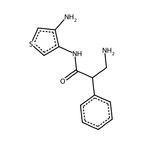 NCC(C(=O)Nc1cscc1N)c1ccccc1